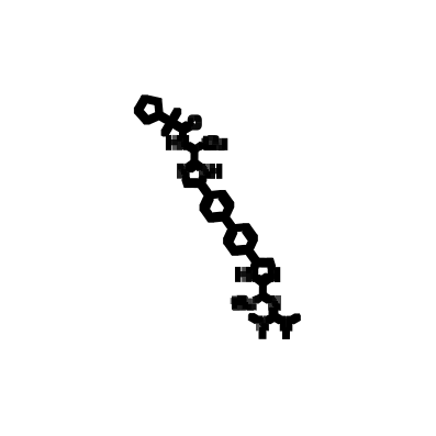 CN(C)C(=N[C@H](c1ncc(-c2ccc(-c3ccc(-c4cnc([C@@H](NC(=O)C(C)(C)C5CCCC5)C(C)(C)C)[nH]4)cc3)cc2)[nH]1)C(C)(C)C)N(C)C